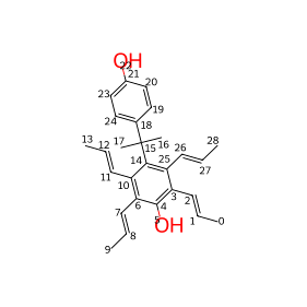 CC=Cc1c(O)c(C=CC)c(C=CC)c(C(C)(C)c2ccc(O)cc2)c1C=CC